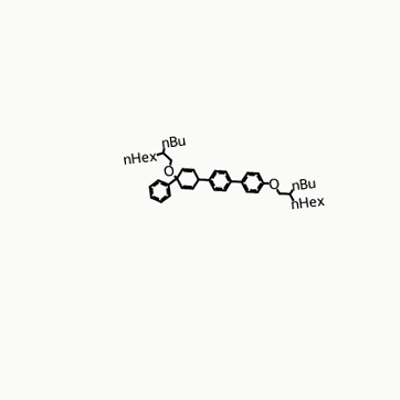 CCCCCCC(CCCC)COc1ccc(-c2ccc(C3C=CC(OCC(CCCC)CCCCCC)(c4ccccc4)C=C3)cc2)cc1